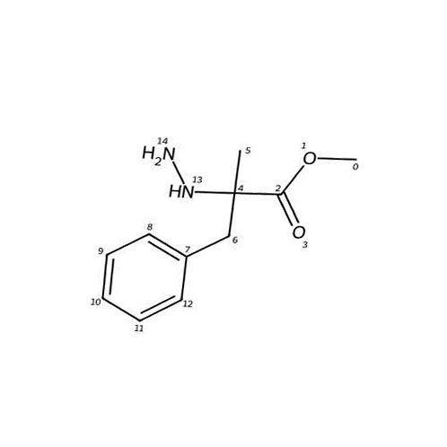 COC(=O)C(C)(Cc1ccccc1)NN